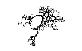 CCC(=O)O[C@@H]1CC(=O)O[C@@H](C/C=C/c2ccc(F)c(-n3cccn3)c2)CCCN(C)C[C@H](O)[C@H](C)C[C@H](CC=O)[C@H](O[C@@H]2OC(C)[C@@H](O[C@H]3CC(C)(OC(C)=O)[C@@H](OC(=O)CC)C(C)O3)C(N(C)C)C2O)[C@H]1OC